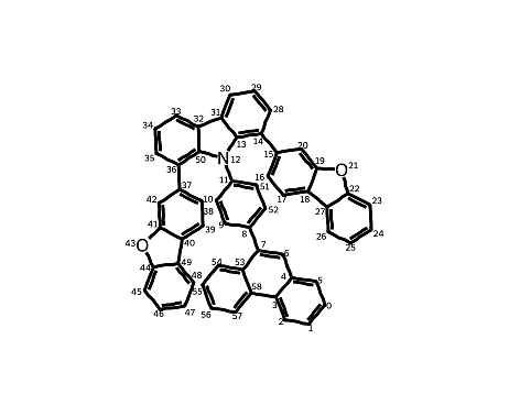 c1ccc2c(c1)cc(-c1ccc(-n3c4c(-c5ccc6c(c5)oc5ccccc56)cccc4c4cccc(-c5ccc6c(c5)oc5ccccc56)c43)cc1)c1ccccc12